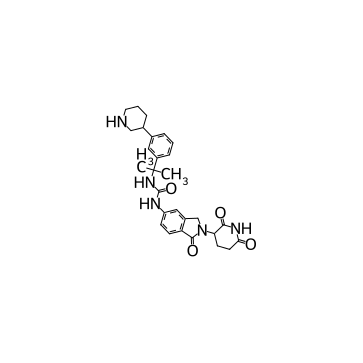 CC(C)(NC(=O)Nc1ccc2c(c1)CN(C1CCC(=O)NC1=O)C2=O)c1cccc(C2CCCNC2)c1